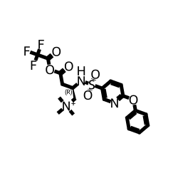 C[N+](C)(C)C[C@@H](CC(=O)OC(=O)C(F)(F)F)NS(=O)(=O)c1ccc(Oc2ccccc2)nc1